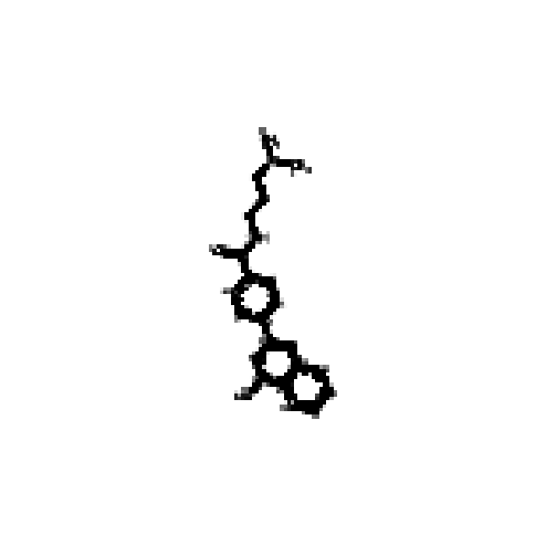 CN(C)CCCNC(=O)c1ccc(-c2cc(O)c3ncccc3c2)cn1